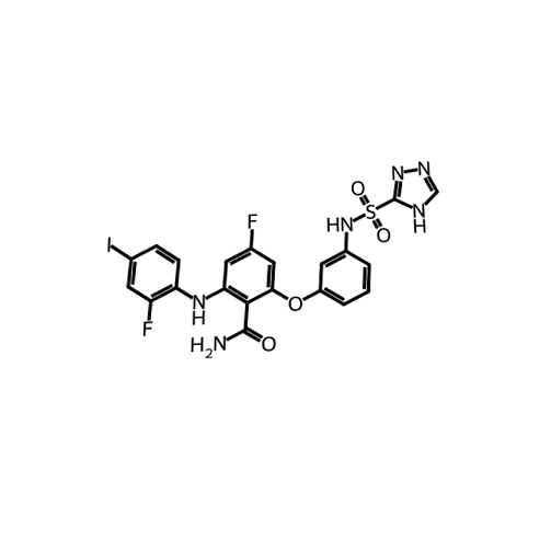 NC(=O)c1c(Nc2ccc(I)cc2F)cc(F)cc1Oc1cccc(NS(=O)(=O)c2nnc[nH]2)c1